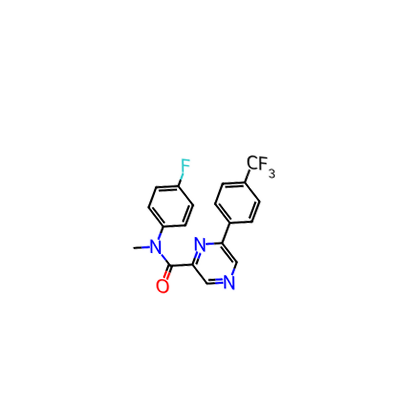 CN(C(=O)c1cncc(-c2ccc(C(F)(F)F)cc2)n1)c1ccc(F)cc1